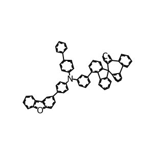 c1ccc(-c2ccc(N(c3ccc(-c4ccc5oc6ccccc6c5c4)cc3)c3cccc(-c4cccc5c4-c4ccccc4C54c5ccccc5-c5ccccc5-c5ccccc54)c3)cc2)cc1